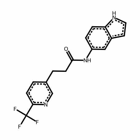 O=C(CCc1ccc(C(F)(F)F)nc1)Nc1ccc2[nH]ccc2c1